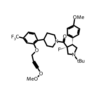 COOC#CCOc1cc(C(F)(F)F)ccc1C1CCN(C(=O)[C@]2(F)CN(C(C)(C)C)C[C@H]2c2ccc(OC)cc2)CC1